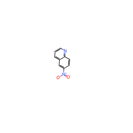 O=[N+]([O-])c1ccc2nc[c]cc2c1